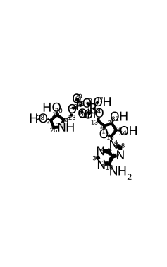 Nc1ncnc2c1ncn2[C@@H]1OC(COP(=O)(O)OP(=O)(O)OC[C@@H]2NC[C@@H](O)[C@H]2O)[C@@H](O)[C@H]1O